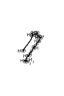 CN[C@@H](CCCCNC(=O)COCCOCCNC(=O)COCCOCCNC(=O)CC[C@H](NC(=O)CC[C@H](NC(=O)CC[C@H](NC(=O)CCCCCCCCCCCCCCCCC(=O)O)C(=O)O)C(=O)O)C(=O)O)C(C)=O